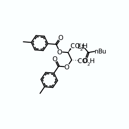 CCCCC(=O)CC.Cc1ccc(C(=O)O[C@@H](C(=O)O)[C@@H](OC(=O)c2ccc(C)cc2)C(=O)O)cc1